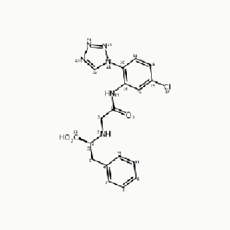 O=C(CN[C@@H](Cc1ccccc1)C(=O)O)Nc1cc(Cl)ccc1-n1cnnn1